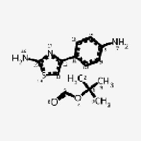 CC(C)(C)OC=O.Nc1ccc(-c2csc(N)n2)cc1